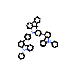 CC1(C)c2ccccc2-c2cccc(N(c3ccc(-c4cccc5c4c4ccccc4n5-c4ccccc4)cc3)c3ccc(-c4cccc5c4c4ccccc4n5-c4ccccc4)cc3)c21